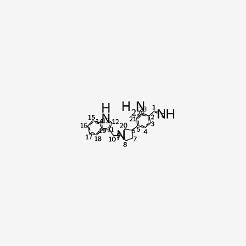 N=Cc1ccc(C2CCN(Cc3c[nH]c4ccccc34)C2)cc1N